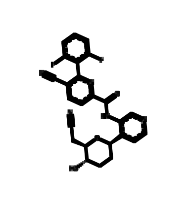 N#CC[C@H]1O[C@@H](c2ccncc2NC(=O)c2ccc(C#N)c(-c3c(F)cccc3F)n2)CC[C@@H]1O